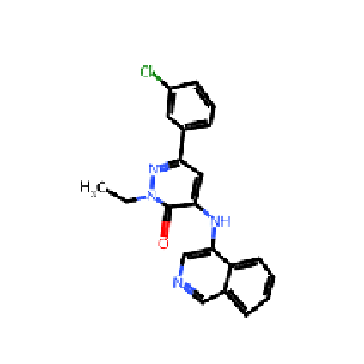 CCn1nc(-c2cccc(Cl)c2)cc(Nc2cncc3ccccc23)c1=O